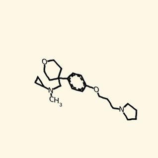 CN(CC1(c2ccc(OCCCN3CCCC3)cc2)CCOCC1)C1CC1